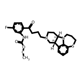 CCOC(=O)Nc1cc(F)ccc1C(=O)CCCN1CC[C@H]2[C@@H](C1)c1cccc3c1N2CCCS3